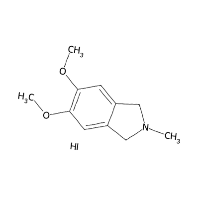 COc1cc2c(cc1OC)CN(C)C2.I